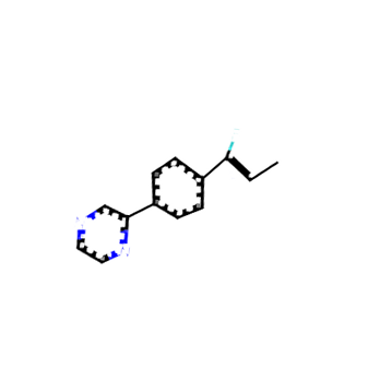 [CH2]/C=C(\F)c1ccc(-c2cnccn2)cc1